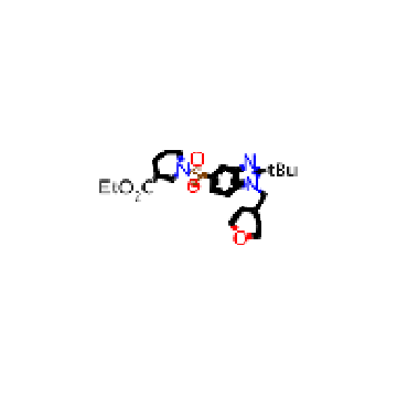 CCOC(=O)C1CCCN(S(=O)(=O)c2ccc3c(c2)nc(C(C)(C)C)n3CC2CCOCC2)C1